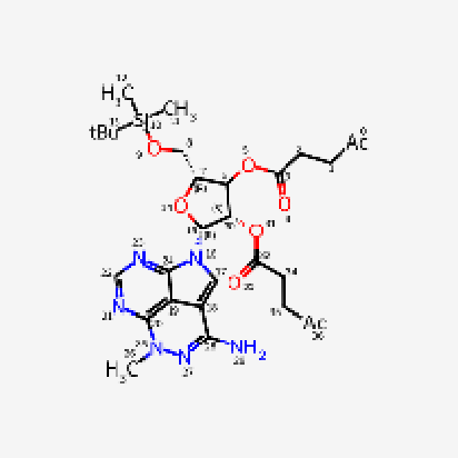 CC(=O)CCC(=O)OC1[C@@H](CO[Si](C)(C)C(C)(C)C)O[C@@H](n2cc3c4c(ncnc42)N(C)N=C3N)[C@H]1OC(=O)CCC(C)=O